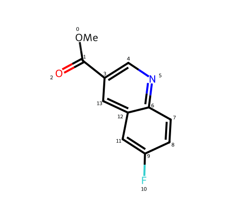 COC(=O)c1cnc2ccc(F)cc2c1